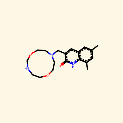 Cc1cc(C)c2[nH]c(=O)c(CN3CCOCCNCOCC3)cc2c1